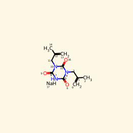 C=C(C)Cn1c(=O)[nH]c(=O)n(CC(=C)C)c1=O.[NaH]